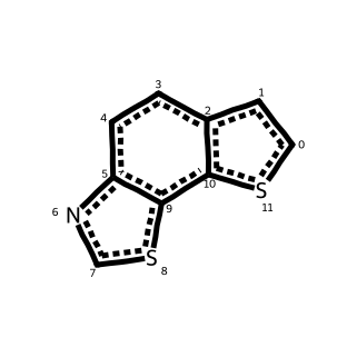 c1cc2ccc3ncsc3c2s1